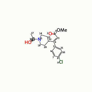 COC(=O)/C=C(/c1ccc(Cl)cc1)C1CCN(B(C)O)CC1